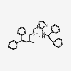 CC(C=C(c1ccccc1)c1ccccc1)C[SiH2]Cn1ccnc1BC(=Cc1ccccc1)c1ccccc1